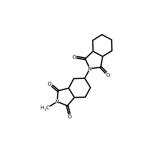 CN1C(=O)C2CCC(N3C(=O)C4CCCCC4C3=O)CC2C1=O